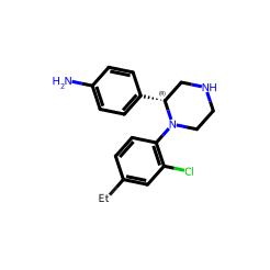 CCc1ccc(N2CCNC[C@H]2c2ccc(N)cc2)c(Cl)c1